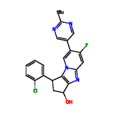 CC(C)(C)c1ncc(-c2cn3c4c(nc3cc2F)C(O)CC4c2ccccc2Cl)cn1